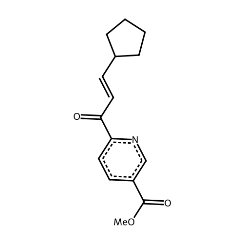 COC(=O)c1ccc(C(=O)/C=C/C2CCCC2)nc1